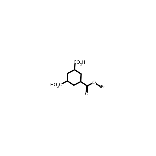 CC(C)OC(=O)C1CC(C(=O)O)CC(C(=O)O)C1